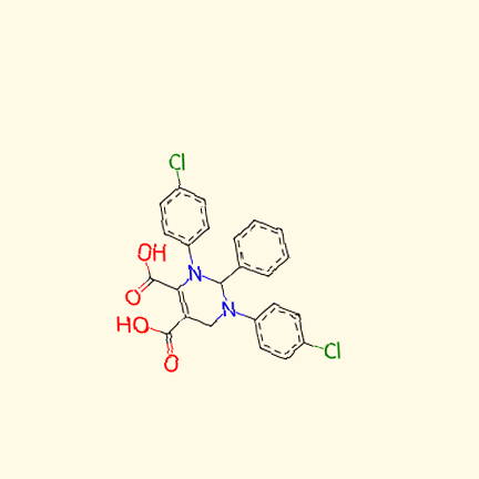 O=C(O)C1=C(C(=O)O)N(c2ccc(Cl)cc2)C(c2ccccc2)N(c2ccc(Cl)cc2)C1